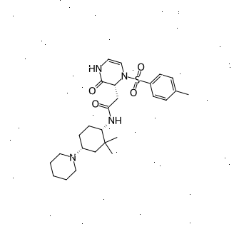 Cc1ccc(S(=O)(=O)N2C=CNC(=O)[C@H]2CC(=O)N[C@H]2CC[C@@H](N3CCCCC3)CC2(C)C)cc1